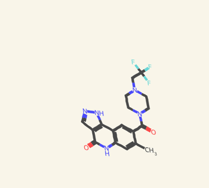 Cc1cc2[nH]c(=O)c3cn[nH]c3c2cc1C(=O)N1CCN(CC(F)(F)F)CC1